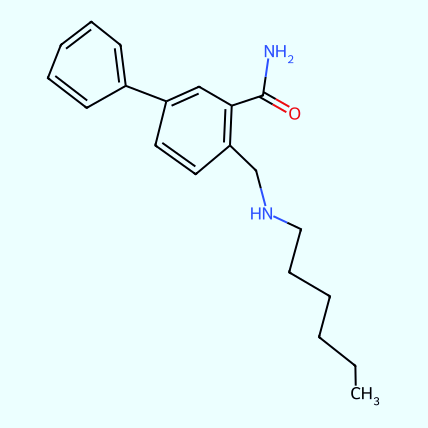 CCCCCCNCc1ccc(-c2ccccc2)cc1C(N)=O